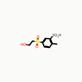 Cc1ccc(S(=O)(=O)CCO)cc1S(=O)(=O)O